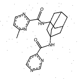 Cc1ccnc(C(=O)NC23CC4CC(CC(NC(=O)c5ccncn5)(C4)C2)C3)n1